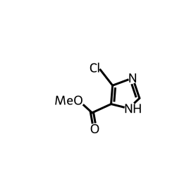 COC(=O)c1[nH]cnc1Cl